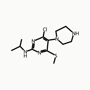 CSc1nc(NC(C)C)nc(Cl)c1N1CCNCC1